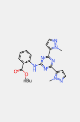 CCCCOC(=O)c1ccccc1Nc1nc(-c2ccnn2C)nc(-c2ccnn2C)n1